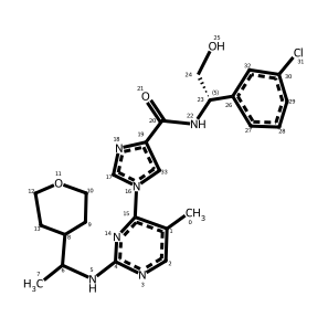 Cc1cnc(NC(C)C2CCOCC2)nc1-n1cnc(C(=O)N[C@H](CO)c2cccc(Cl)c2)c1